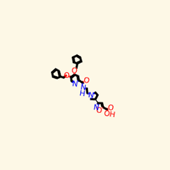 O=C(NCCN1CC[C@@H](c2cc(C(=O)O)on2)C1)c1cc(OCc2ccccc2)c(OCc2ccccc2)cn1